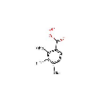 CCCCc1c(C(=O)OO)ccc(C(C)(C)C)c1CCC